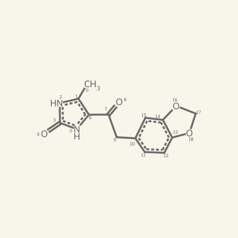 Cc1[nH]c(=O)[nH]c1C(=O)Cc1ccc2c(c1)OCO2